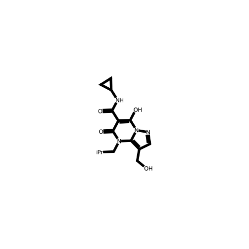 CC(C)Cn1c(=O)c(C(=O)NC2CC2)c(O)n2ncc(CO)c12